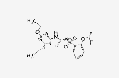 CCOc1nc(NC(=O)NS(=O)(=O)c2ccccc2OC(F)F)nc(OCC)n1